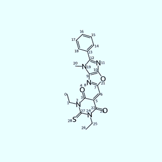 CCN1C(=O)C(=Cc2nc3c(nc(-c4ccccc4)n3C)o2)C(=O)N(CC)C1=S